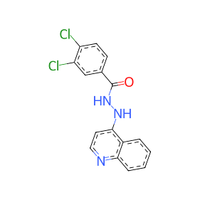 O=C(NNc1ccnc2ccccc12)c1ccc(Cl)c(Cl)c1